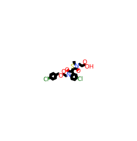 C=c1s/c(=C2\C(=O)N(CC(=O)OCc3ccc(Cl)cc3)c3ccc(Cl)cc32)c(=O)n1CCC(=O)O